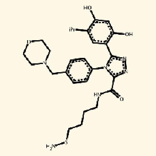 CC(C)c1cc(-c2nnc(C(=O)NCCCCSN)n2-c2ccc(CN3CCOCC3)cc2)c(O)cc1O